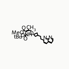 COC(=O)C(NC(=O)OC(C)(C)C)=C(C)COC1CC(CCc2ccc3cccnc3n2)C1